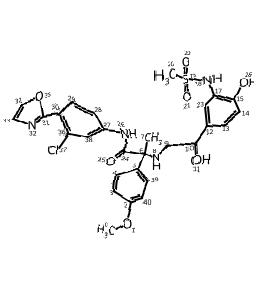 COc1ccc(C(C)(NCC(O)c2ccc(O)c(NS(C)(=O)=O)c2)C(=O)Nc2ccc(-c3ncco3)c(Cl)c2)cc1